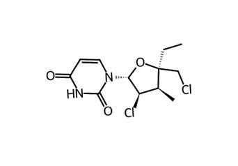 CC[C@@]1(CCl)O[C@@H](n2ccc(=O)[nH]c2=O)[C@H](Cl)[C@@H]1C